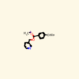 CI.COc1ccc(C(=O)OCc2cccnc2)cc1